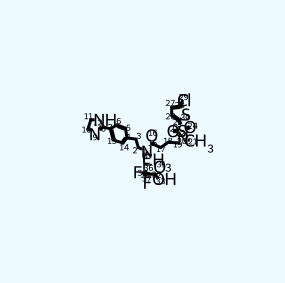 CN(CCc1ccc(C2=NCCN2)cc1)C(=O)CCCN(C)S(=O)(=O)c1ccc(Cl)s1.O=C(O)C(F)(F)F